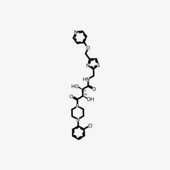 O=C(NCc1nc(COc2ccncc2)cs1)[C@H](O)[C@@H](O)C(=O)N1CCN(c2ccccc2Cl)CC1